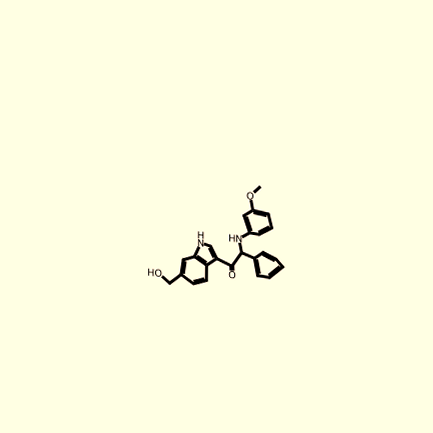 COc1cccc(NC(C(=O)c2c[nH]c3cc(CO)ccc23)c2ccccc2)c1